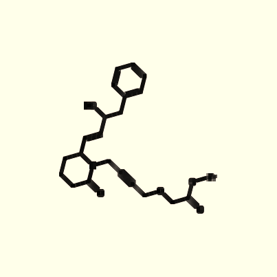 CC(C)OC(=O)COCC#CCN1C(=O)CCCC1C=CC(O)Cc1ccccc1